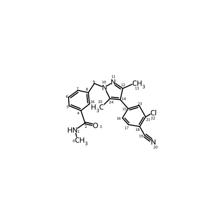 CNC(=O)c1cccc(Cn2nc(C)c(-c3ccc(C#N)c(Cl)c3)c2C)c1